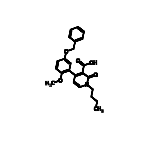 CCCCn1ccc(-c2cc(OCc3ccccc3)ccc2OC)c(C(=O)O)c1=O